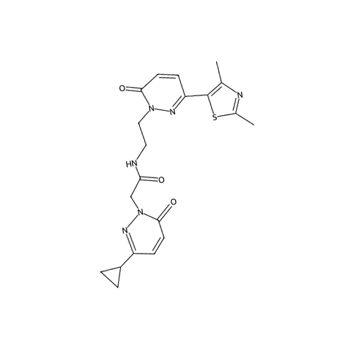 Cc1nc(C)c(-c2ccc(=O)n(CCNC(=O)Cn3nc(C4CC4)ccc3=O)n2)s1